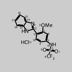 COc1cc(NS(=O)(=O)C(F)(F)F)ccc1-c1nc2ccccc2[nH]1.Cl